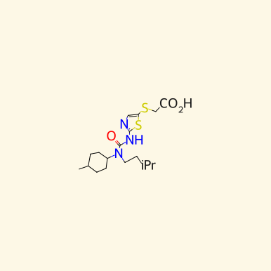 CC(C)CCN(C(=O)Nc1ncc(SCC(=O)O)s1)C1CCC(C)CC1